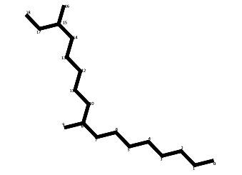 CCCCCCCCC(C)CCCCCC(C)CC